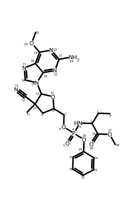 CCC(NP(=O)(OCC1CC(C)(C#N)C(n2cnc3c(OC)nc(N)nc32)O1)Oc1ccccc1)C(=O)OC